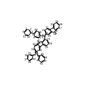 c1ccc(-c2ccc(N(c3ccc4c(c3)sc3ccccc34)c3cccc4c3sc3ccc(N(c5ccccc5)c5ccccc5)cc34)cc2)cc1